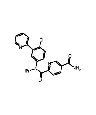 CC(C)N(C(=O)c1ccc(C(N)=O)cn1)c1ccc(Cl)c(-c2ccccn2)c1